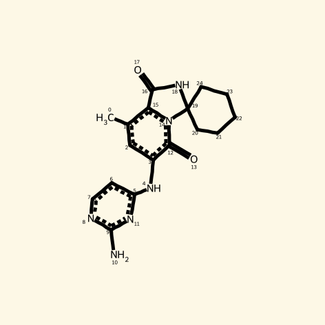 Cc1cc(Nc2ccnc(N)n2)c(=O)n2c1C(=O)NC21CCCCC1